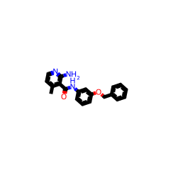 Cc1ccnc(N)c1C(=O)Nc1cccc(OCc2ccccc2)c1